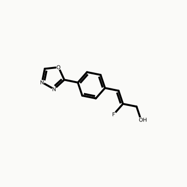 OCC(F)=Cc1ccc(-c2nnco2)cc1